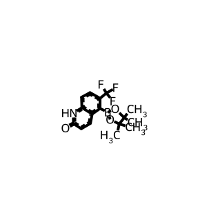 CC1(C)OB(c2c(C(F)(F)F)ccc3[nH]c(=O)ccc23)OC1(C)C